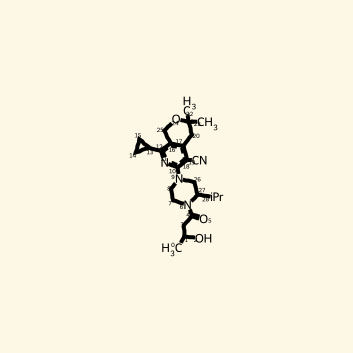 CC(O)CC(=O)N1CCN(c2nc(C3CC3)c3c(c2C#N)CC(C)(C)OC3)CC1C(C)C